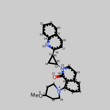 COC1CCN(c2cccc3ccn([C@@H]4C[C@H]4c4ccc5ccccc5n4)c(=O)c23)CC1